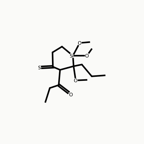 CCCC1(OC)C(C(=O)CC)C(=S)CC[Si]1(OC)OC